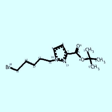 CC(C)(C)OC(=O)c1ccn(CCCCCBr)n1